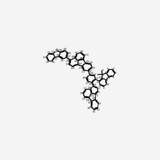 CC1(C)c2ccccc2-c2cccc(-c3cc(-c4ccc5c(c4)-c4ccc(-c6ccc7sc8ccccc8c7c6)c6cccc-5c46)ccc3-c3ccc4c5c(cccc35)-c3ccccc3-4)c21